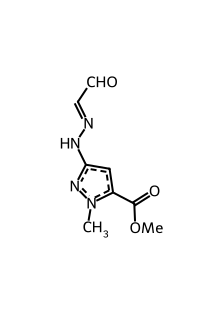 COC(=O)c1cc(NN=CC=O)nn1C